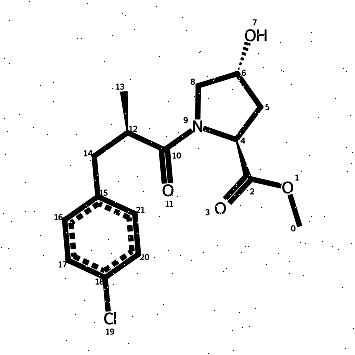 COC(=O)[C@@H]1C[C@@H](O)CN1C(=O)[C@H](C)Cc1ccc(Cl)cc1